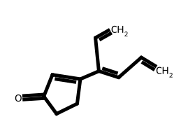 C=C/C=C(\C=C)C1=CC(=O)CC1